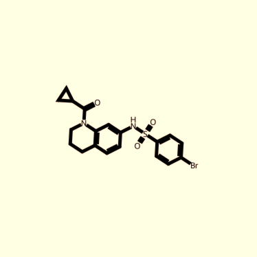 O=C(C1CC1)N1CCCc2ccc(NS(=O)(=O)c3ccc(Br)cc3)cc21